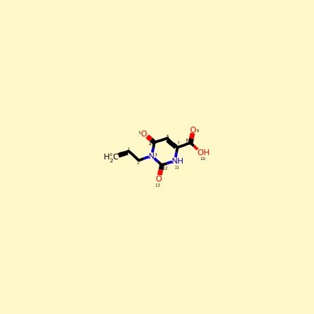 C=CCn1c(=O)cc(C(=O)O)[nH]c1=O